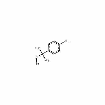 CC(C)OC(C)(C)c1ccc(N)cc1